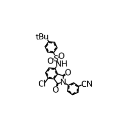 CC(C)(C)c1ccc(S(=O)(=O)Nc2ccc(Cl)c3c2C(=O)N(c2cccc(C#N)c2)C3=O)cc1